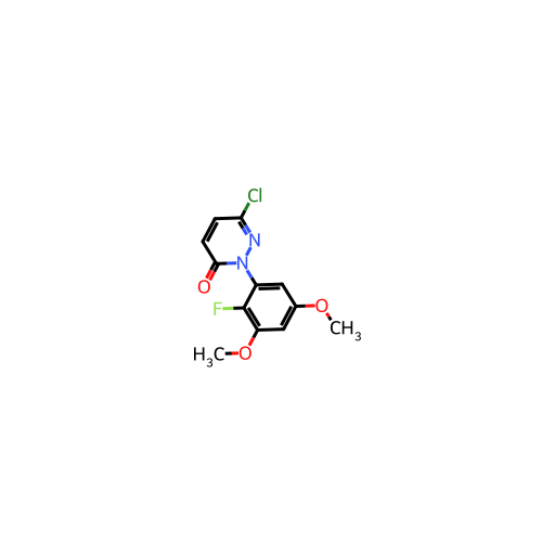 COc1cc(OC)c(F)c(-n2nc(Cl)ccc2=O)c1